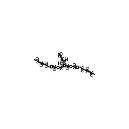 C=CC(=O)OCCOC(=O)CCC(=O)OCCc1ccc(OC(=O)C2CCC(C(=O)Oc3ccc(OC(=O)C4CCC(C(=O)Oc5ccc(CCOC(=O)CCC(=O)OCCOC(=O)C=C)cc5)CC4)c4c3N/C(=C(/C#N)C(=O)OCCOC(=O)C=C)S4)CC2)cc1